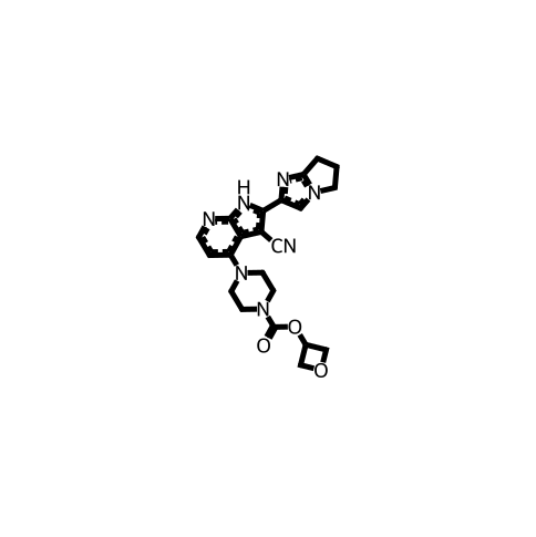 N#Cc1c(-c2cn3c(n2)CCC3)[nH]c2nccc(N3CCN(C(=O)OC4COC4)CC3)c12